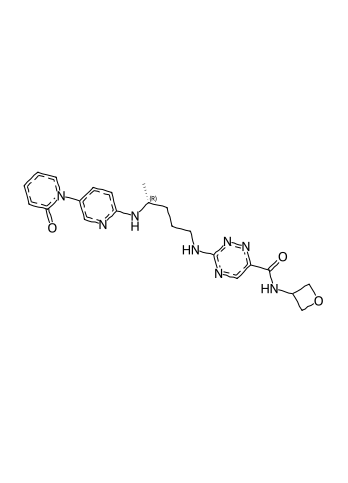 C[C@H](CCCNc1ncc(C(=O)NC2COC2)nn1)Nc1ccc(-n2ccccc2=O)cn1